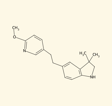 COc1ccc(CCc2ccc3c(c2)C(C)(C)CN3)cn1